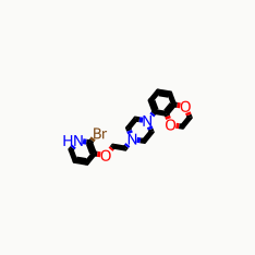 BrC1=C(OCCN2CCN(c3cccc4c3OCCO4)CC2)C=CCN1